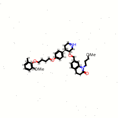 COCCCN1C(=O)CCc2ccc(CO[C@H]3CNCC[C@@H]3c3ccc(OCCCCOc4c(C)cccc4OC)cc3)cc21